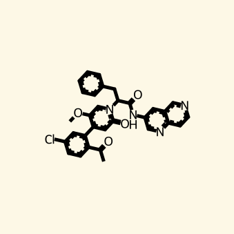 COc1cn(C(Cc2ccccc2)C(=O)Nc2cnc3ccncc3c2)c(=O)cc1-c1cc(Cl)ccc1C(C)=O